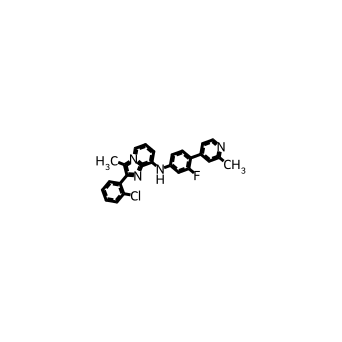 Cc1cc(-c2ccc(Nc3cccn4c(C)c(-c5ccccc5Cl)nc34)cc2F)ccn1